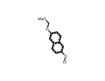 CCOc1ccc2cc(OCOC)ccc2c1